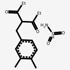 CCC(=O)C(Cc1ccc(C)c(C)c1)C(=O)CC.N[SH](=O)=O